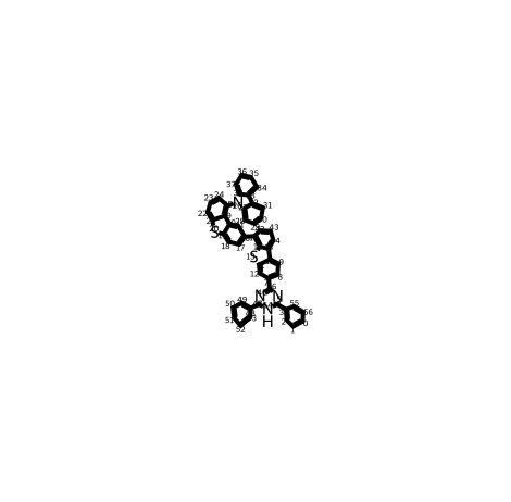 c1ccc(C2=NC(c3ccc4c(c3)sc3c(-c5ccc6sc7cccc(-n8c9ccccc9c9ccccc98)c7c6c5)cccc34)=NC(c3ccccc3)N2)cc1